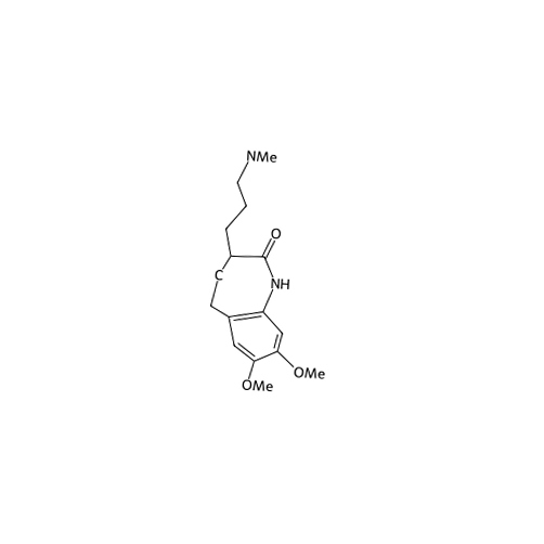 CNCCCC1CCc2cc(OC)c(OC)cc2NC1=O